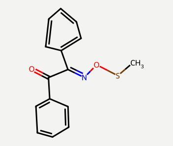 CSON=C(C(=O)c1ccccc1)c1ccccc1